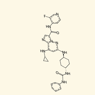 O=C(Nc1ccccc1)N[C@H]1CC[C@H](Nc2cc(NC3CC3)c3ncc(C(=O)Nc4ccncc4F)n3n2)CC1